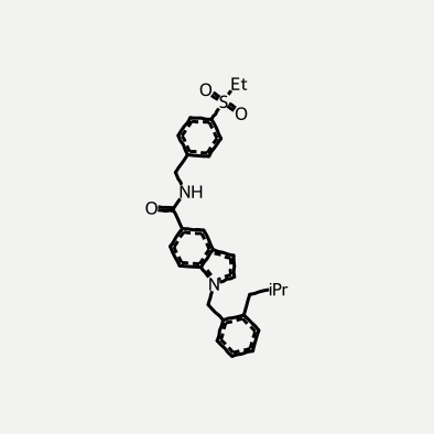 CCS(=O)(=O)c1ccc(CNC(=O)c2ccc3c(ccn3Cc3ccccc3CC(C)C)c2)cc1